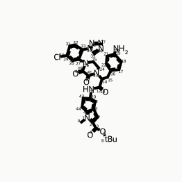 Cn1c(C(=O)OC(C)(C)C)cc2cc(NC(=O)C(Cc3ccc(N)cc3)N3CCN(c4cc(Cl)ccc4-n4cnnn4)C(=O)C3=O)ccc21